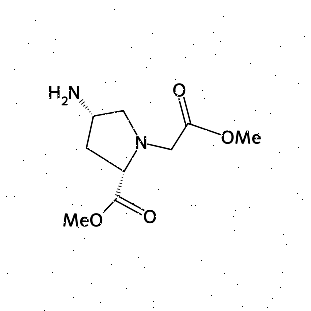 COC(=O)CN1C[C@@H](N)C[C@H]1C(=O)OC